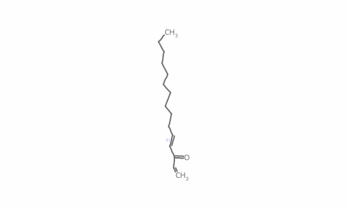 C=CC(=O)/C=C/CCCCCCCCCC